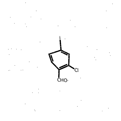 O=[C]c1ccc(I)cc1Cl